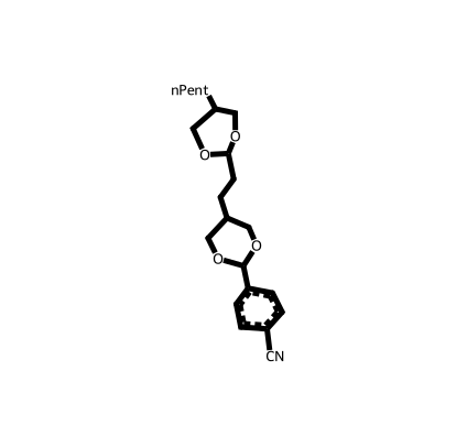 CCCCCC1COC(CCC2COC(c3ccc(C#N)cc3)OC2)OC1